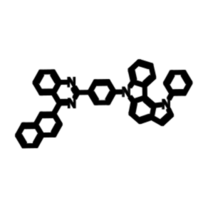 c1ccc(-n2ccc3ccc4c(c5ccccc5n4-c4ccc(-c5nc(-c6ccc7ccccc7c6)c6ccccc6n5)cc4)c32)cc1